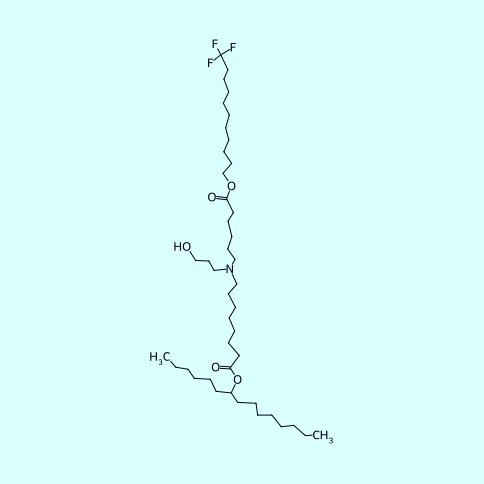 CCCCCCCCC(CCCCCC)OC(=O)CCCCCCCN(CCCO)CCCCCC(=O)OCCCCCCCCCCC(F)(F)F